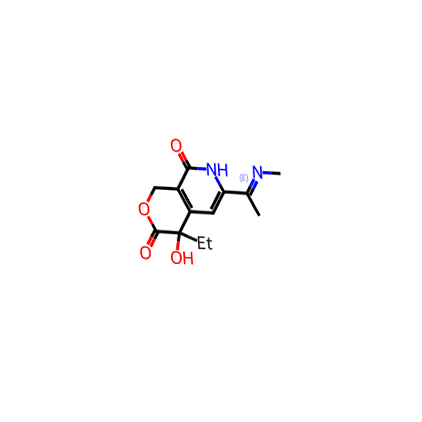 CCC1(O)C(=O)OCc2c1cc(/C(C)=N/C)[nH]c2=O